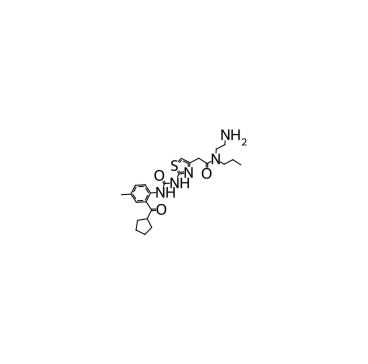 CCCN(CCN)C(=O)Cc1csc(NC(=O)Nc2ccc(C)cc2C(=O)C2CCCC2)n1